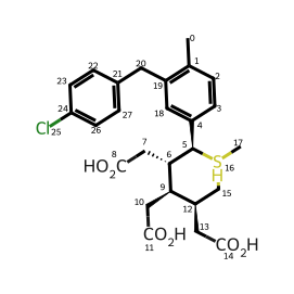 Cc1ccc([C@@H]2[C@@H](CC(=O)O)[C@H](CC(=O)O)[C@H](CC(=O)O)C[SH]2C)cc1Cc1ccc(Cl)cc1